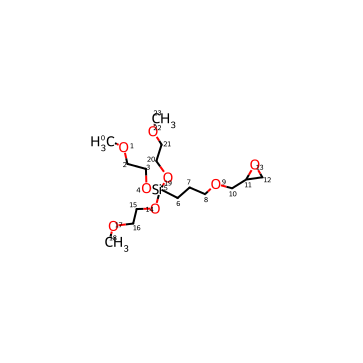 COCCO[Si](CCCOCC1CO1)(OCCOC)OCCOC